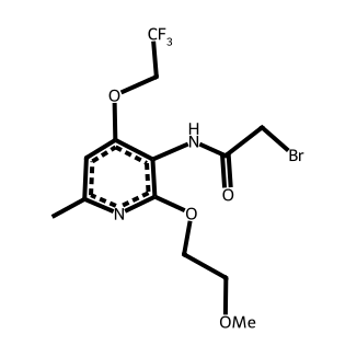 COCCOc1nc(C)cc(OCC(F)(F)F)c1NC(=O)CBr